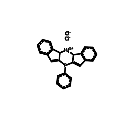 C1=C2[CH]([Hf+2][CH]3C(=Cc4ccccc43)P2c2ccccc2)c2ccccc21.[Cl-].[Cl-]